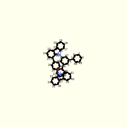 c1ccc(-c2cc(-c3ccccc3)cc(-n3c4ccccc4c4cccc(-c5ccc(-n6c7ccccc7c7ccccc76)cc5)c43)c2)cc1